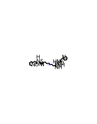 N=C(CC/C=C/CCc1nnc(NC(=O)Cc2ccccn2)s1)SC(=N)NC(=O)Cc1ccccn1